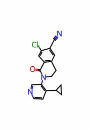 N#Cc1cc2c(cc1Cl)C(=O)N(c1cnccc1C1CC1)CC2